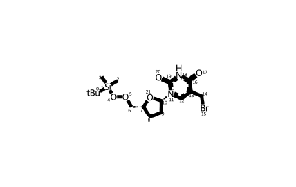 CC(C)(C)[Si](C)(C)OOC[C@H]1CC[C@@H](n2cc(CBr)c(=O)[nH]c2=O)O1